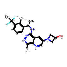 Cc1c([C@@H](C)Nc2nnc(C)c3ncc(N4CC(O)C4)cc23)cccc1C(C)(F)F